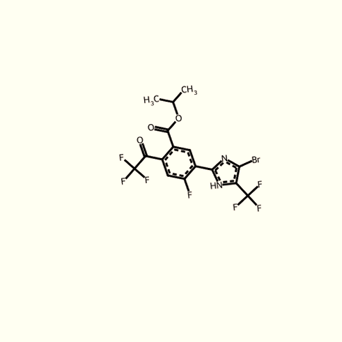 CC(C)OC(=O)c1cc(-c2nc(Br)c(C(F)(F)F)[nH]2)c(F)cc1C(=O)C(F)(F)F